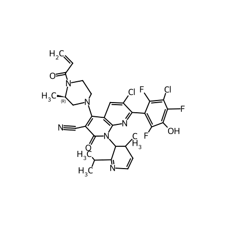 C=CC(=O)N1CCN(c2c(C#N)c(=O)n(C3C(C(C)C)=NC=CC3C)c3nc(-c4c(F)c(O)c(F)c(Cl)c4F)c(Cl)cc23)C[C@H]1C